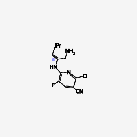 CC(C)/C=C(\CN)Nc1nc(Cl)c(C#N)cc1F